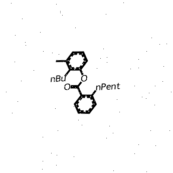 CCCCCc1ccccc1C(=O)Oc1cccc(C)c1CCCC